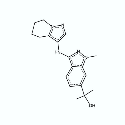 Cn1nc(Nc2cnn3c2CCCC3)c2ccc(C(C)(C)O)cc21